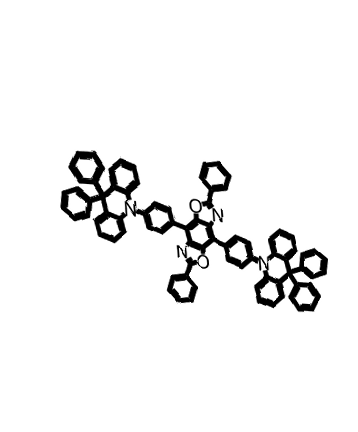 c1ccc(-c2nc3c(-c4ccc(N5c6ccccc6C(c6ccccc6)(c6ccccc6)c6ccccc65)cc4)c4oc(-c5ccccc5)nc4c(-c4ccc(N5c6ccccc6C(c6ccccc6)(c6ccccc6)c6ccccc65)cc4)c3o2)cc1